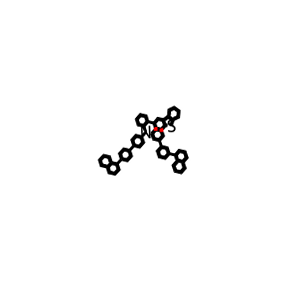 c1cc(-c2cccc(N(c3ccc(-c4ccc(-c5cccc6ccccc56)cc4)cc3)c3ccccc3-c3ccc4sc5ccccc5c4c3)c2)cc(-c2cccc3ccccc23)c1